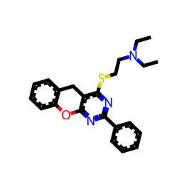 CCN(CC)CCSc1nc(-c2ccccc2)nc2c1Cc1ccccc1O2